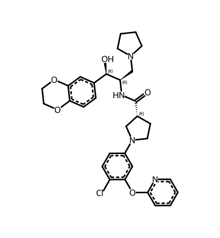 O=C(N[C@H](CN1CCCC1)[C@H](O)c1ccc2c(c1)OCCO2)[C@@H]1CCN(c2ccc(Cl)c(Oc3ccccn3)c2)C1